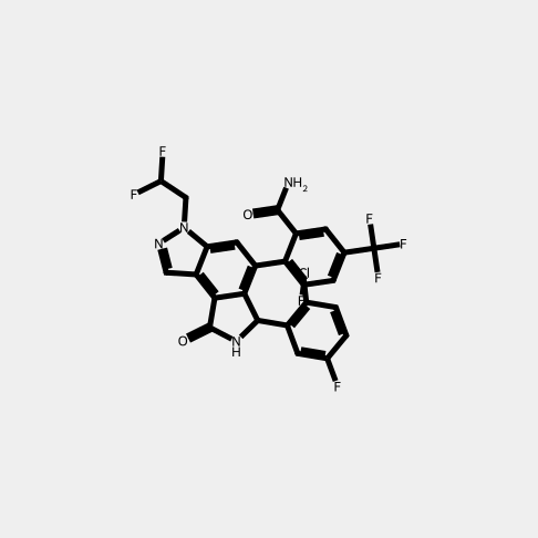 NC(=O)c1cc(C(F)(F)F)cc(F)c1-c1cc2c(cnn2CC(F)F)c2c1C(c1cc(F)ccc1Cl)NC2=O